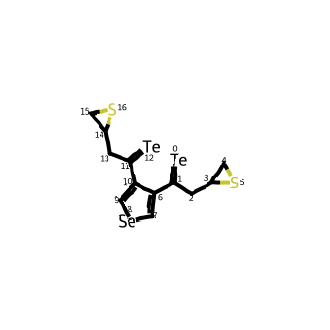 [Te]=C(CC1CS1)c1c[se]cc1C(=[Te])CC1CS1